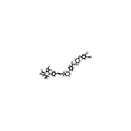 Cc1sc2c(c1C)C(c1ccc(C#CC3CC4(CCCN(c5ccc(C(=O)N[C@H]6CC[C@H](Oc7ccc(C#N)c(Cl)c7)CC6)nn5)C4)C3)cc1)=NC1(CC1)c1nnc(C)n1-2